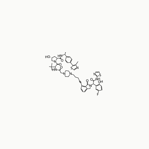 Cc1ncsc1-c1ccc([C@H](C)NC(=O)[C@@H]2C[C@@H](O)CN2C(=O)[C@@H](NC(=O)CN2CCN(CCCC#Cc3cccc4c3C(=O)N(C(C(=O)Nc3nccs3)c3cc(F)ccc3O)C4)CC2)C(C)(C)C)cc1